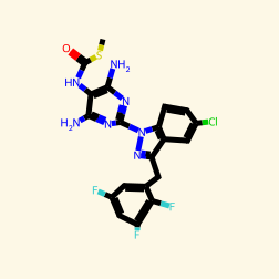 CSC(=O)Nc1c(N)nc(-n2nc(Cc3cc(F)cc(F)c3F)c3cc(Cl)ccc32)nc1N